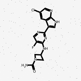 NC(=O)N1CC(Nc2nc(-c3c[nH]c4ncc(Cl)cc34)ncc2F)C1